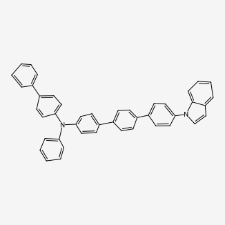 c1ccc(-c2ccc(N(c3ccccc3)c3ccc(-c4ccc(-c5ccc(-n6ccc7ccccc76)cc5)cc4)cc3)cc2)cc1